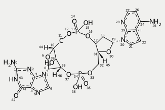 Nc1nc2c(ncn2[C@@H]2O[C@@H]3COP(=O)(O)OC4C[C@H](n5ccc6c(N)ccnc65)O[C@@H]4COP(=O)(O)O[C@H]2C3O)c(=O)[nH]1